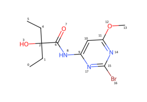 CCC(O)(CC)C(=O)Nc1cc(OC)nc(Br)n1